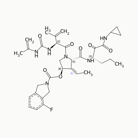 C=C(C)NC(=O)N[C@@H](C(=C)C)C(=O)N1C[C@H](OC(=O)N2Cc3cccc(F)c3C2)/C(=C/C)[C@H]1C(=O)N[C@@H](CCC)C(=O)C(=O)NC1CC1